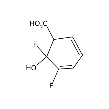 O=C(O)C1C=CC=C(F)C1(O)F